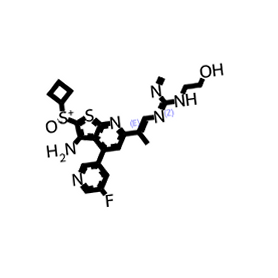 C=N/C(=N\C=C(/C)c1cc(-c2cncc(F)c2)c2c(N)c([S+]([O-])C3CCC3)sc2n1)NCCO